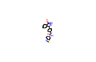 O=C(Cc1ccc(-c2n[nH]c(=O)c3ccccc23)cc1)Nc1ccc2ncsc2c1